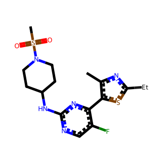 CCc1nc(C)c(-c2nc(NC3CCN(S(C)(=O)=O)CC3)ncc2F)s1